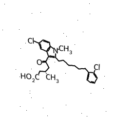 C[C@H](CC(=O)O)CC(=O)c1c(CCCCCCc2ccccc2Cl)n(C)c2ccc(Cl)cc12